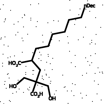 CCCCCCCCCCCCCCCCC(CC(CO)(CO)C(=O)O)C(=O)O